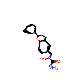 NC(=O)N(O)Cc1ccc2c(c1)CCC(c1ccccc1)O2